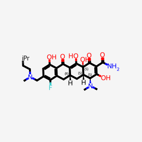 CC(C)CCN(C)Cc1cc(O)c2c(c1F)C[C@H]1C[C@H]3[C@H](N(C)C)C(O)=C(C(N)=O)C(=O)[C@@]3(O)C(O)=C1C2=O